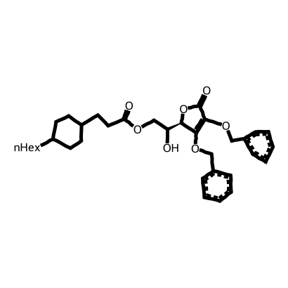 CCCCCCC1CCC(CCC(=O)OCC(O)[C@H]2OC(=O)C(OCc3ccccc3)=C2OCc2ccccc2)CC1